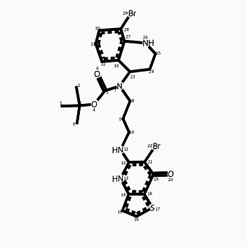 CC(C)(C)OC(=O)N(CCCNc1[nH]c2ccsc2c(=O)c1Br)C1CCNc2c(Br)cccc21